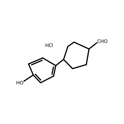 Cl.O=CC1CCC(c2ccc(O)cc2)CC1